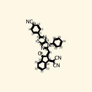 N#CC(C#N)=C1/C(=C/c2nc3sc(-c4ccc(C#N)cc4)nc3n2-c2ccccc2)C(=O)c2ccccc21